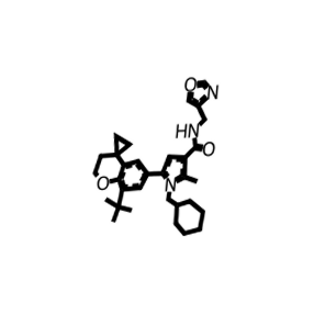 Cc1c(C(=O)NCc2cocn2)cc(-c2cc(C(C)(C)C)c3c(c2)C2(CCO3)CC2)n1CC1CCCCC1